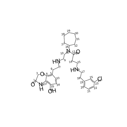 O=C1COc2c(CCNCCN(C(=O)CCNCCc3cccc(Cl)c3)C3CCCCCC3)ccc(O)c2N1